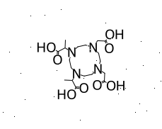 CC(C(=O)O)N1CCN(CC(=O)O)CCN(CC(=O)O)CCN(C(C)C(=O)O)CC1